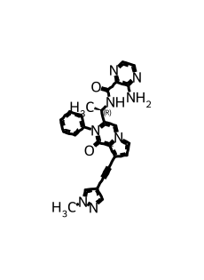 C[C@@H](NC(=O)c1nccnc1N)c1cn2ccc(C#Cc3cnn(C)c3)c2c(=O)n1-c1ccccc1